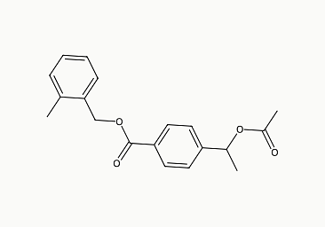 CC(=O)OC(C)c1ccc(C(=O)OCc2ccccc2C)cc1